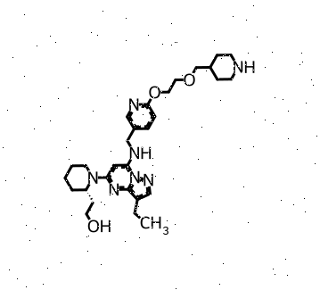 CCc1cnn2c(NCc3ccc(OCCOCC4CCNCC4)nc3)cc(N3CCCC[C@H]3CCO)nc12